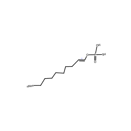 CCCCCCCCCCCCCCCC/C=C/OP(=O)(O)S